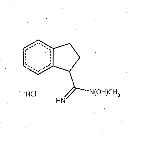 CN(O)C(=N)C1CCc2ccccc21.Cl